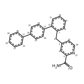 NC(=O)c1cc(Cc2ccccc2-c2ccc(-c3ccccc3)cc2)ccn1